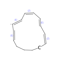 [C]1=C/C=C\C=C\C=C/CCCC/C=C/1